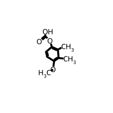 COc1ccc(OC(=O)O)c(C)c1C